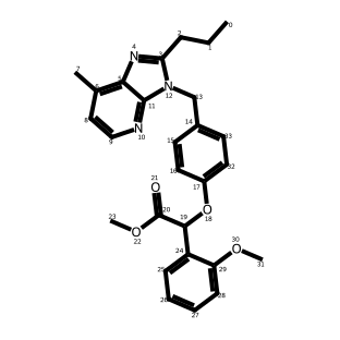 CCCc1nc2c(C)ccnc2n1Cc1ccc(OC(C(=O)OC)c2ccccc2OC)cc1